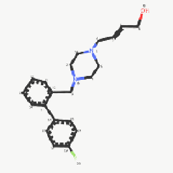 OCC=CCN1CCN(Cc2ccccc2-c2ccc(F)cc2)CC1